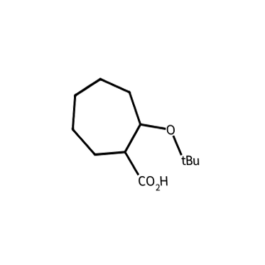 CC(C)(C)OC1CCCCCC1C(=O)O